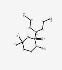 [2H]N1CCC([2H])([2H])OP1(=O)N(CCCl)CCCl